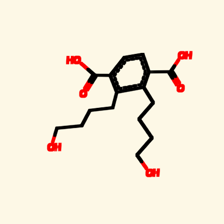 O=C(O)c1ccc(C(=O)O)c(CCCCO)c1CCCCO